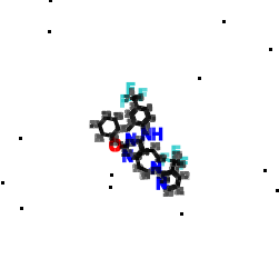 Cc1cc(C(F)(F)F)ccc1Nc1nc(OC2CCCCC2)nc2c1CCN(c1ncccc1C(F)(F)F)CC2